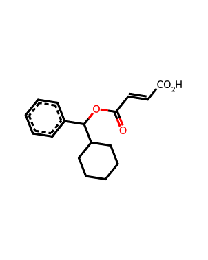 O=C(O)C=CC(=O)OC(c1ccccc1)C1CCCCC1